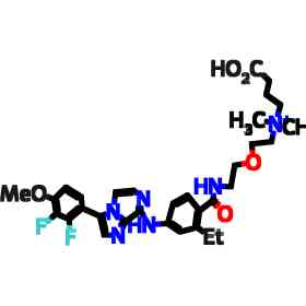 CCc1cc(Nc2nccn3c(-c4ccc(OC)c(F)c4F)cnc23)ccc1C(=O)NCCOCC[N+](C)(C)CCCC(=O)O